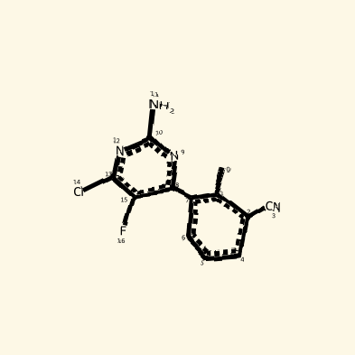 Cc1c(C#N)cccc1-c1nc(N)nc(Cl)c1F